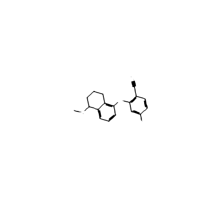 CNC1CCCc2c(Oc3cc(Cl)ccc3C#N)cccc21